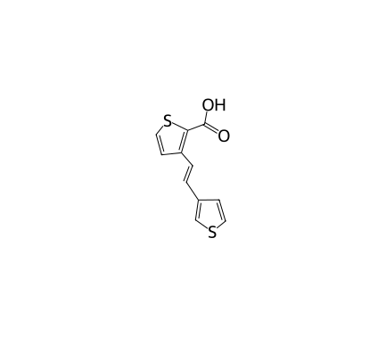 O=C(O)c1sccc1C=Cc1ccsc1